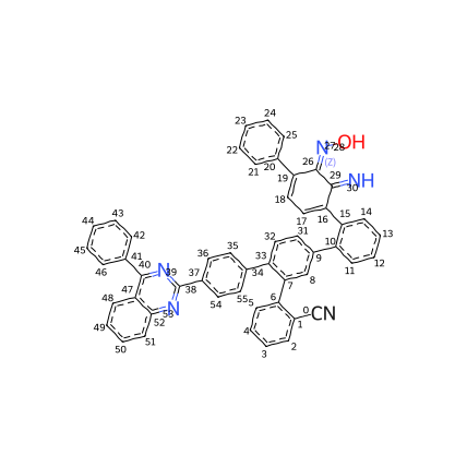 N#Cc1ccccc1-c1cc(-c2ccccc2C2=CC=C(c3ccccc3)/C(=N/O)C2=N)ccc1-c1ccc(-c2nc(-c3ccccc3)c3ccccc3n2)cc1